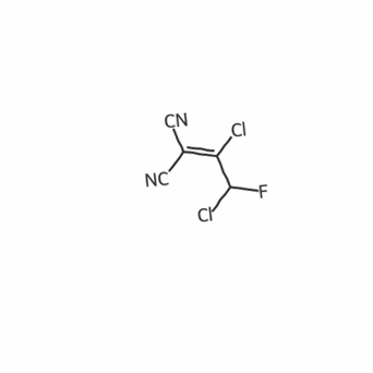 N#CC(C#N)=C(Cl)C(F)Cl